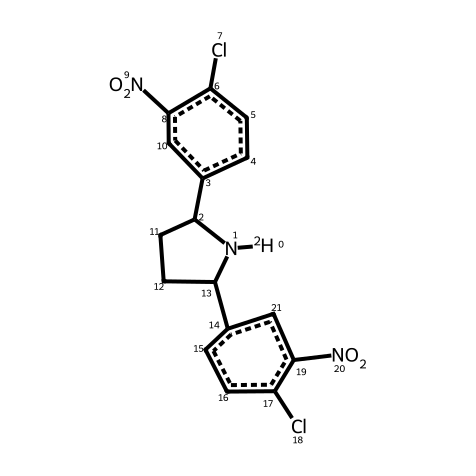 [2H]N1C(c2ccc(Cl)c([N+](=O)[O-])c2)CCC1c1ccc(Cl)c([N+](=O)[O-])c1